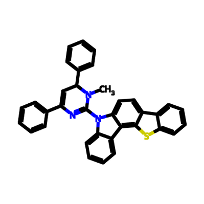 CN1C(n2c3ccccc3c3c4sc5ccccc5c4ccc32)=NC(c2ccccc2)=CC1c1ccccc1